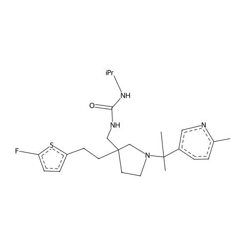 Cc1ccc(C(C)(C)N2CCC(CCc3ccc(F)s3)(CNC(=O)NC(C)C)C2)cn1